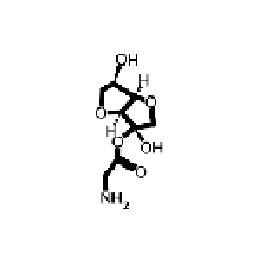 NCC(=O)O[C@@]1(O)CO[C@@H]2[C@H](O)CO[C@@H]21